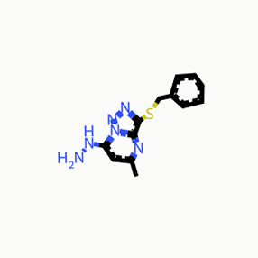 Cc1cc(NN)n2nnc(SCc3ccccc3)c2n1